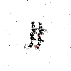 COc1nc(Nc2nccc(-c3ccc(OCC4CCN(C(=O)[C@@H](C)O)C4)c(C#N)c3)n2)ccc1N1CCN(C2COC2)CC1.COc1nc(Nc2nccc(-c3ccc(OCC4CCN(C(=O)[C@@H](C)O)C4)c(C#N)c3)n2)ccc1N1CCN(C2COC2)CC1